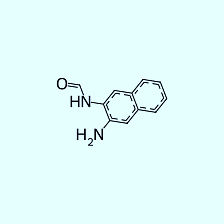 Nc1cc2ccccc2cc1NC=O